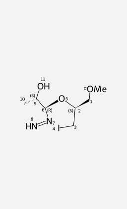 COC[C@@H](CI)O[C@@H](N=N)[C@H](C)O